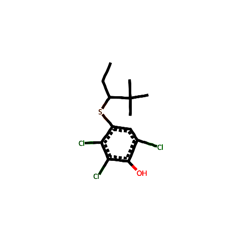 CCC(Sc1cc(Cl)c(O)c(Cl)c1Cl)C(C)(C)C